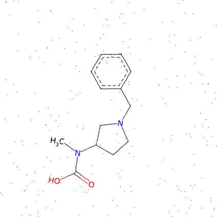 CN(C(=O)O)C1CCN(Cc2ccccc2)C1